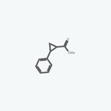 COC(=O)C1CC1c1ccccc1